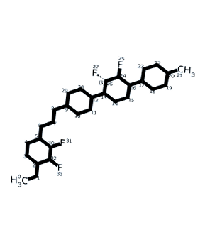 CCC1CCC(CCCC2CCC(C3CCC(C4CCC(C)CC4)C(F)[C@H]3F)CC2)C(F)C1F